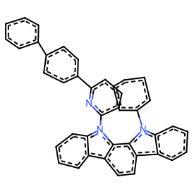 c1ccc(-c2ccc(-c3cccc(-n4c5ccccc5c5ccc6c7ccccc7n(-c7ccccc7)c6c54)n3)cc2)cc1